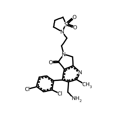 Cc1nc2c(c(-c3ccc(Cl)cc3Cl)c1CN)C(=O)N(CCN1CCCS1(=O)=O)C2